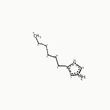 CC[CH]CCCc1c[nH]cn1